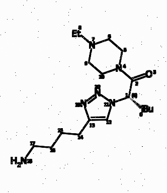 CCC(C)[C@@H](C(=O)N1CCN(CC)CC1)n1cc(CCCCN)nn1